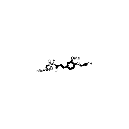 C#CCOc1ccc(C=CC(=O)NS(=O)(=O)CNCCCC)cc1OC